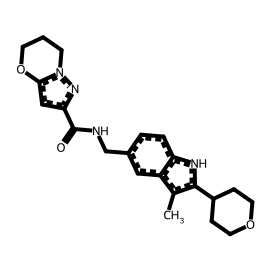 Cc1c(C2CCOCC2)[nH]c2ccc(CNC(=O)c3cc4n(n3)CCCO4)cc12